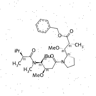 CC[C@H](C)[C@@H]([C@@H](CC(=O)N1CCC[C@H]1[C@H](OC)[C@@H](C)C(=O)OCc1ccccc1)OC)N(C)C(=O)[C@@H](C)C(C)C